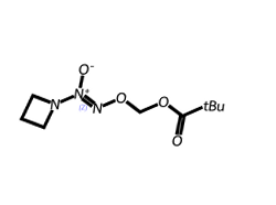 CC(C)(C)C(=O)OCO/N=[N+](\[O-])N1CCC1